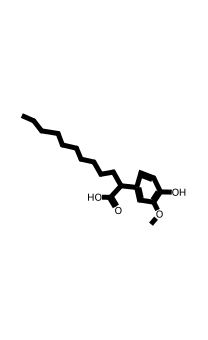 CCCCCCCCCCC(C(=O)O)c1ccc(O)c(OC)c1